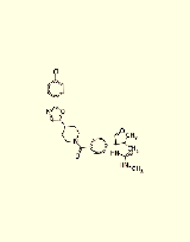 CNC(=O)NC(C=O)(c1ccc(C(=O)N2CCC(c3nnc(-c4ccc(Cl)cc4)o3)CC2)cc1)C(C)C